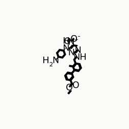 CCOC(=O)c1cccc(-c2cccc(CNc3ncc([N+](=O)[O-])c(N[C@H]4CC[C@H](N)CC4)n3)c2C)c1